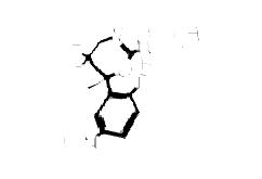 C[C@]1(c2cc(N)ccc2F)OC(NC(=O)O)=NCC1(F)F